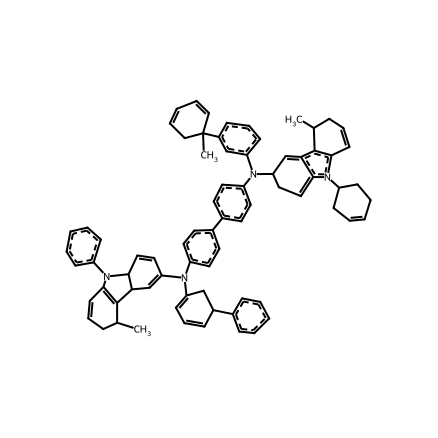 CC1CC=CC2=C1C1C=C(N(C3=CC=CC(c4ccccc4)C3)c3ccc(-c4ccc(N(c5cccc(C6(C)C=CC=CC6)c5)C5C=c6c7c(n(C8CC=CCC8)c6=CC5)C=CCC7C)cc4)cc3)C=CC1N2c1ccccc1